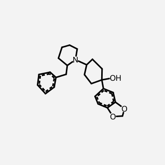 OC1(c2ccc3c(c2)OCO3)CCC(N2CCCCC2Cc2ccccc2)CC1